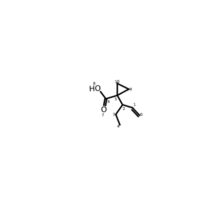 C=CC(CC)C1(C(=O)O)CC1